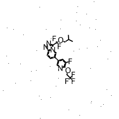 CC(C)COC(F)(F)c1nnc2ccc(-c3cnc(OCC(F)(F)F)c(F)c3)cn12